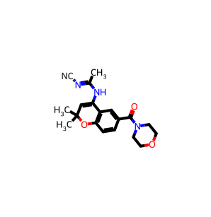 CC(=NC#N)NC1=CC(C)(C)Oc2ccc(C(=O)N3CCOCC3)cc21